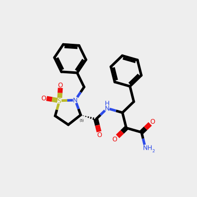 NC(=O)C(=O)C(Cc1ccccc1)NC(=O)[C@@H]1CCS(=O)(=O)N1Cc1ccccc1